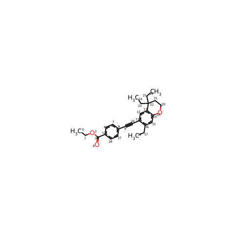 CCOC(=O)c1ccc(C#Cc2cc3c(cc2CC)OCCC3(CC)CC)cc1